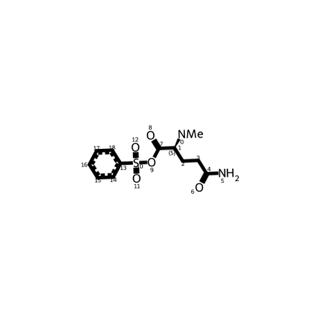 CN[C@@H](CCC(N)=O)C(=O)OS(=O)(=O)c1ccccc1